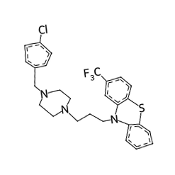 FC(F)(F)c1ccc2c(c1)N(CCCN1CCN(Cc3ccc(Cl)cc3)CC1)c1ccccc1S2